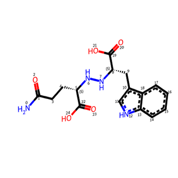 NC(=O)CC[C@H](NN[C@@H](Cc1c[nH]c2ccccc12)C(=O)O)C(=O)O